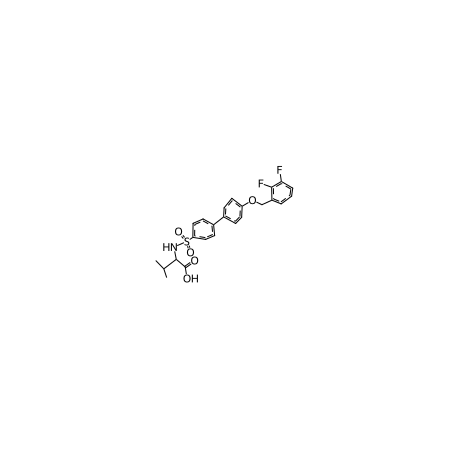 CC(C)C(NS(=O)(=O)c1ccc(-c2ccc(OCc3cccc(F)c3F)cc2)cc1)C(=O)O